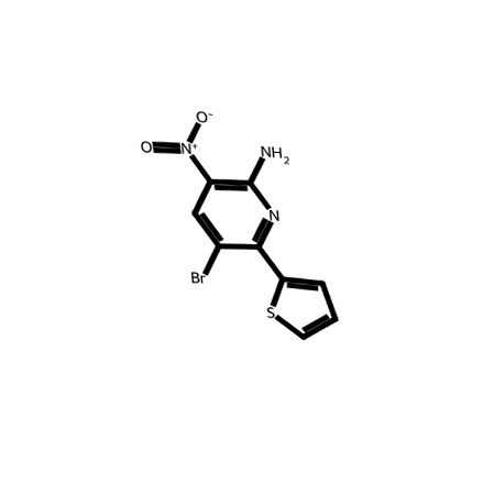 Nc1nc(-c2cccs2)c(Br)cc1[N+](=O)[O-]